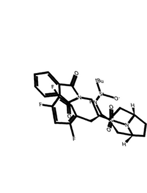 CC(C)(C)[S+]([O-])N[C@H](Cc1cc(F)c(F)cc1F)[C@@H]1C[C@H]2CC[C@@H](C1)N2S(=O)(=O)CCN1C(=O)c2ccccc2C1=O